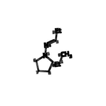 CCC.CCC=NN1CCCC1